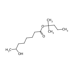 CCCC(C)(C)OC(=O)CCCCCC(C)O